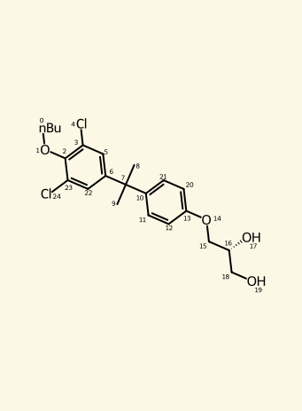 CCCCOc1c(Cl)cc(C(C)(C)c2ccc(OC[C@H](O)CO)cc2)cc1Cl